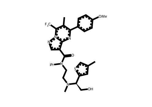 COc1ccc(-c2nc3c(C(=O)N(CCN(C)[C@H](CO)c4cc(C)cs4)C(C)C)cnn3c(C(F)(F)F)c2C)cc1